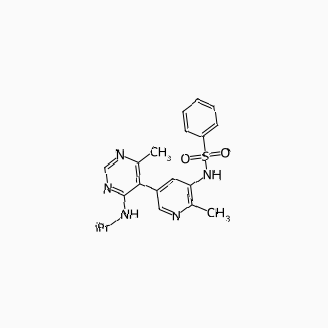 Cc1ncc(-c2c(C)ncnc2NC(C)C)cc1NS(=O)(=O)c1ccccc1